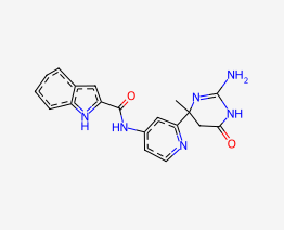 CC1(c2cc(NC(=O)c3cc4ccccc4[nH]3)ccn2)CC(=O)NC(N)=N1